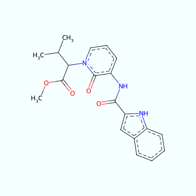 COC(=O)C(C(C)C)n1cccc(NC(=O)c2cc3ccccc3[nH]2)c1=O